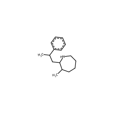 CC(CC1NCCCCC1C)c1ccccc1